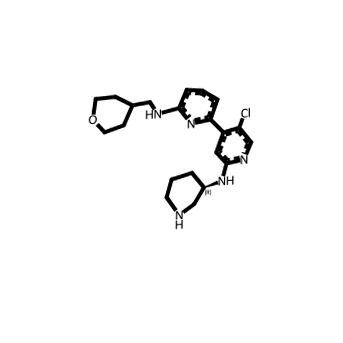 Clc1cnc(N[C@@H]2CCCNC2)cc1-c1cccc(NCC2CCOCC2)n1